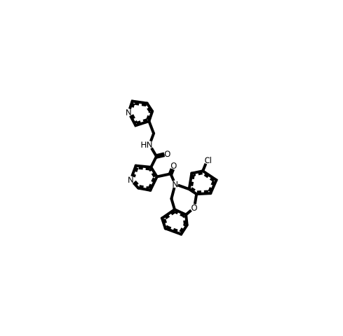 O=C(NCc1cccnc1)c1cnccc1C(=O)N1Cc2ccccc2Oc2ccc(Cl)cc21